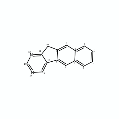 c1ccc2cc3c(cc2c1)Cc1ncncc1-3